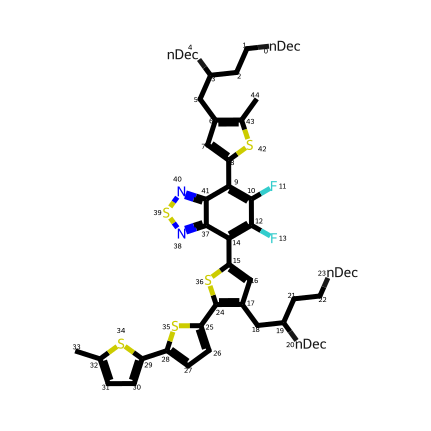 CCCCCCCCCCCCC(CCCCCCCCCC)Cc1cc(-c2c(F)c(F)c(-c3cc(CC(CCCCCCCCCC)CCCCCCCCCCCC)c(-c4ccc(-c5ccc(C)s5)s4)s3)c3nsnc23)sc1C